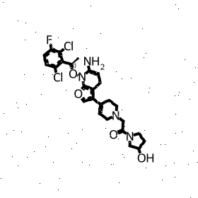 C[C@@H](ON1C(N)=CCc2c(C3=CCN(CC(=O)N4CCC(O)C4)CC3)coc21)c1c(Cl)ccc(F)c1Cl